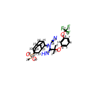 CC(C)(Oc1cccc(OC(F)(F)F)c1)C(=N)N(C#N)C1C2CC3CC1CC(S(C)(=O)=O)(C3)C2